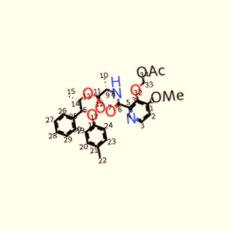 COc1ccnc(C(=O)N[C@@H](C)C(=O)O[C@@H](C)[C@H](Oc2ccc(C)cc2)c2ccccc2)c1OCOC(C)=O